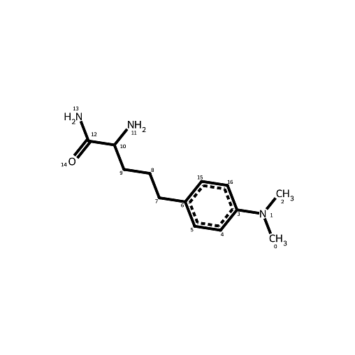 CN(C)c1ccc(CCCC(N)C(N)=O)cc1